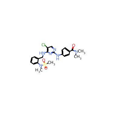 CN(C)C(=O)c1ccc(Nc2ncc(Cl)c(NCc3ccccc3N(C)S(C)(=O)=O)n2)cc1